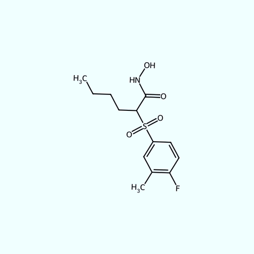 CCCCC(C(=O)NO)S(=O)(=O)c1ccc(F)c(C)c1